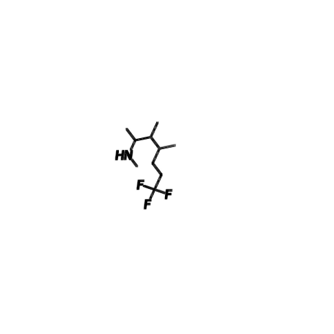 CNC(C)C(C)C(C)CCC(F)(F)F